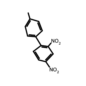 Cc1ccc(-c2ccc([N+](=O)[O-])cc2[N+](=O)[O-])cc1